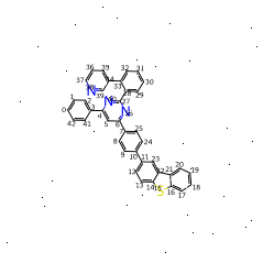 c1ccc(-c2cc(-c3ccc(-c4ccc5sc6ccccc6c5c4)cc3)nc(-c3ccccc3-c3cccnc3)n2)cc1